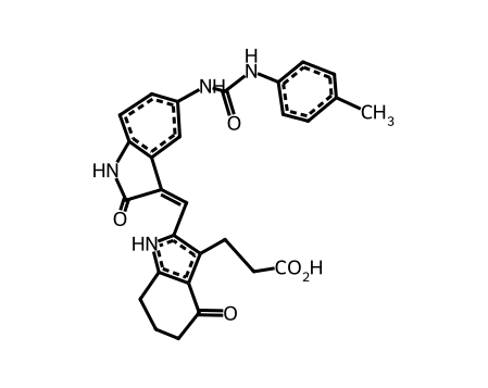 Cc1ccc(NC(=O)Nc2ccc3c(c2)C(=Cc2[nH]c4c(c2CCC(=O)O)C(=O)CCC4)C(=O)N3)cc1